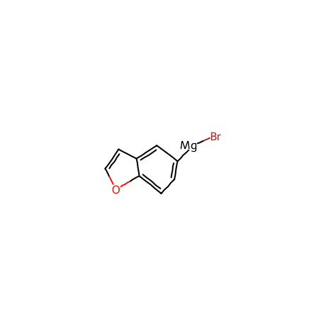 [Br][Mg][c]1ccc2occc2c1